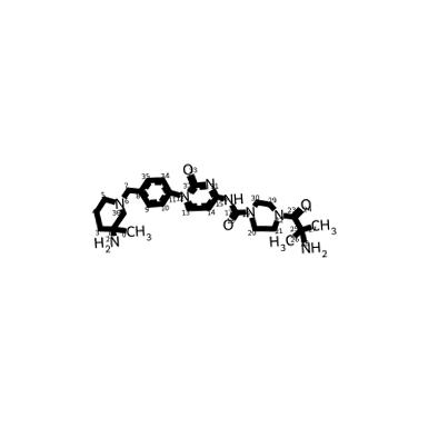 CC1(N)CCCN(Cc2ccc(-n3ccc(NC(=O)N4CCN(C(=O)C(C)(C)N)CC4)nc3=O)cc2)C1